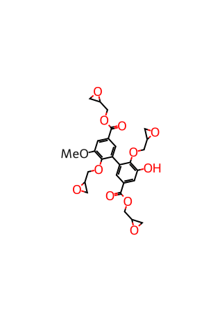 COc1cc(C(=O)OCC2CO2)cc(-c2cc(C(=O)OCC3CO3)cc(O)c2OCC2CO2)c1OCC1CO1